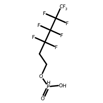 O=[PH](O)OCCC(F)(F)C(F)(F)C(F)(F)C(F)(F)F